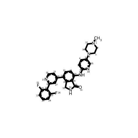 CN1CCN(c2ccc(Nc3ccc(-c4ccnc(-c5c(F)cccc5F)c4)c4c3C(=O)NC4)nc2)CC1